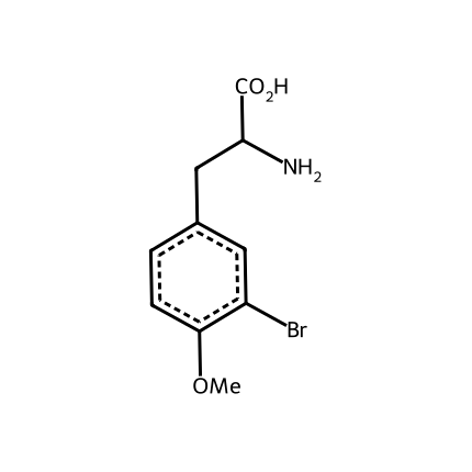 COc1ccc(CC(N)C(=O)O)cc1Br